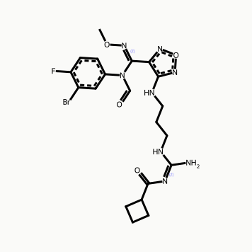 CO/N=C(/c1nonc1NCCCN/C(N)=N\C(=O)C1CCC1)N(C=O)c1ccc(F)c(Br)c1